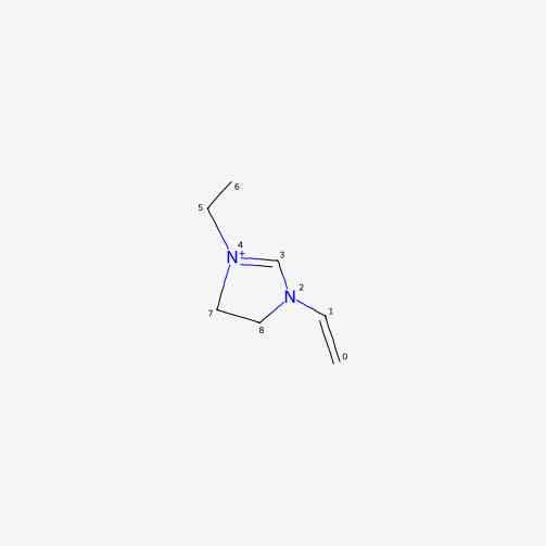 C=CN1C=[N+](CC)CC1